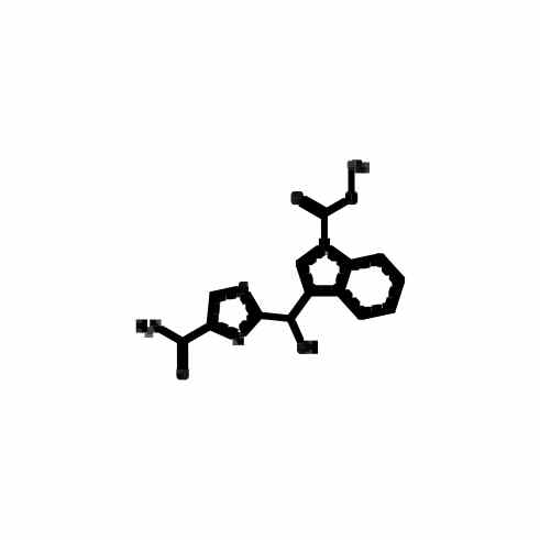 CC(C)(C)OC(=O)n1cc(C(O)c2nc(C(N)=O)cs2)c2ccccc21